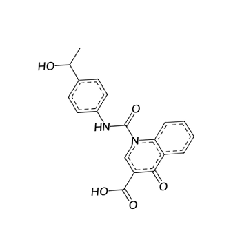 CC(O)c1ccc(NC(=O)n2cc(C(=O)O)c(=O)c3ccccc32)cc1